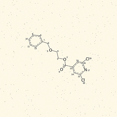 O=C(OCCOCc1ccccc1)c1cc(Cl)nc(Cl)c1